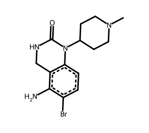 CN1CCC(N2C(=O)NCc3c2ccc(Br)c3N)CC1